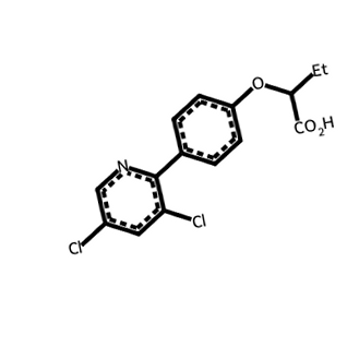 CCC(Oc1ccc(-c2ncc(Cl)cc2Cl)cc1)C(=O)O